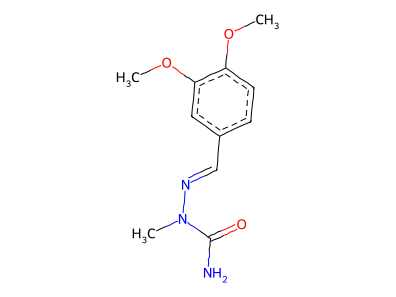 COc1ccc(C=NN(C)C(N)=O)cc1OC